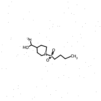 [3H]C(O)C1CCN(S(=O)(=O)CCCC)CC1